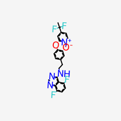 CC(F)(F)c1cc[n+]([O-])c(Oc2ccc(CCNc3ncnc4c(F)ccc(F)c34)cc2)c1